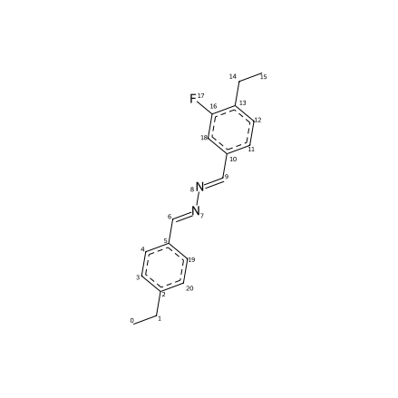 CCc1ccc(C=NN=Cc2ccc(CC)c(F)c2)cc1